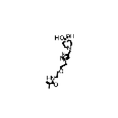 C=C(C)C(=O)NCCOCCn1cc(CN2CCS(O)(O)CC2)nn1